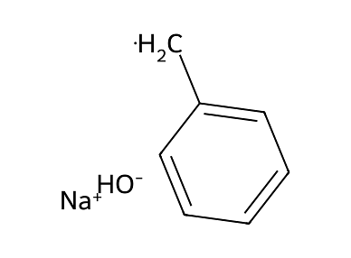 [CH2]c1ccccc1.[Na+].[OH-]